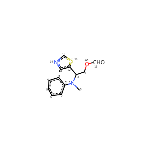 CN(c1ccccc1)C(COC=O)c1cncs1